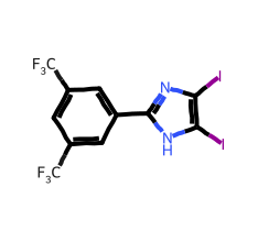 FC(F)(F)c1cc(-c2nc(I)c(I)[nH]2)cc(C(F)(F)F)c1